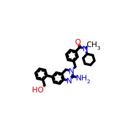 CN(C(=O)c1cccc(CN2Cc3cc(-c4ccccc4CO)ccc3N=C2N)c1)C1CCCCC1